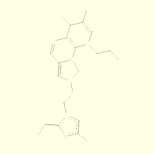 CCCN1C=C(C)C(C)C2=C1N1CN(OCn3cc(C)nc3CC)C=C1C=N2